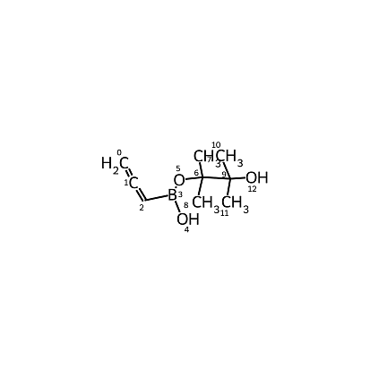 C=C=CB(O)OC(C)(C)C(C)(C)O